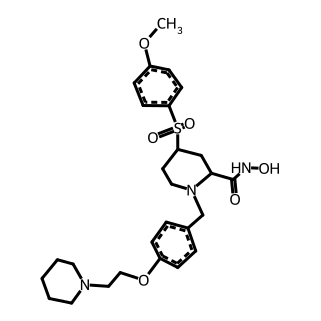 COc1ccc(S(=O)(=O)C2CCN(Cc3ccc(OCCN4CCCCC4)cc3)C(C(=O)NO)C2)cc1